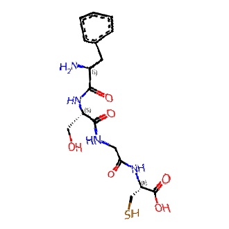 N[C@@H](Cc1ccccc1)C(=O)N[C@@H](CO)C(=O)NCC(=O)N[C@@H](CS)C(=O)O